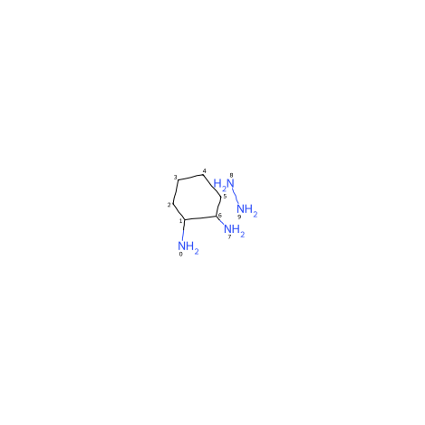 NC1CCCCC1N.NN